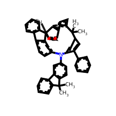 CC(C)(C)c1ccc2c(c1)C13c4ccccc4-c4ccc(cc41)N(c1ccc4c(c1)-c1ccccc1C4(C)C)C1=CC(C=C1c1ccccc1)C(C)(C)c1ccc-2c3c1